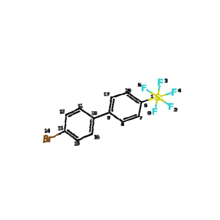 FS(F)(F)(F)(F)c1ccc(-c2ccc(Br)cc2)cc1